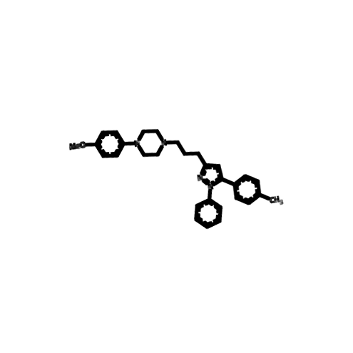 COc1ccc(N2CCN(CCCc3cc(-c4ccc(C)cc4)n(-c4ccccc4)n3)CC2)cc1